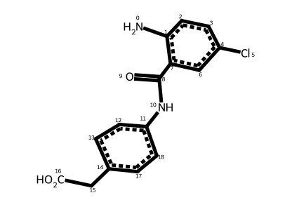 Nc1ccc(Cl)cc1C(=O)Nc1ccc(CC(=O)O)cc1